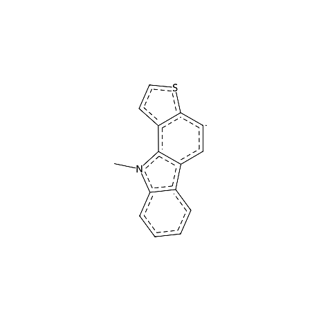 Cn1c2ccccc2c2c[c]c3sccc3c21